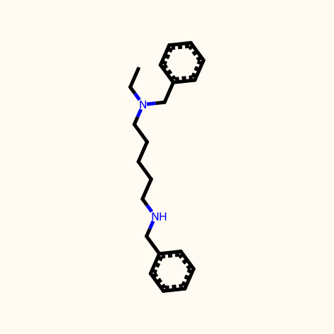 CCN(CCCCCNCc1ccccc1)Cc1ccccc1